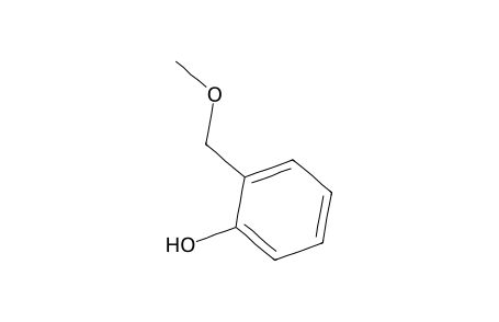 COCc1ccccc1O